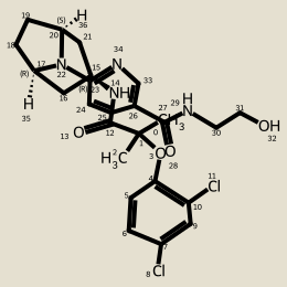 CC(C)(Oc1ccc(Cl)cc1Cl)C(=O)N[C@H]1C[C@H]2CC[C@@H](C1)N2c1ccc(C(=O)NCCO)cn1